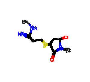 CCN1C(=O)CC(SCCC(=N)NC(C)(C)C)C1=O